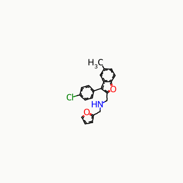 Cc1ccc2oc(CNCc3ccco3)c(-c3ccc(Cl)cc3)c2c1